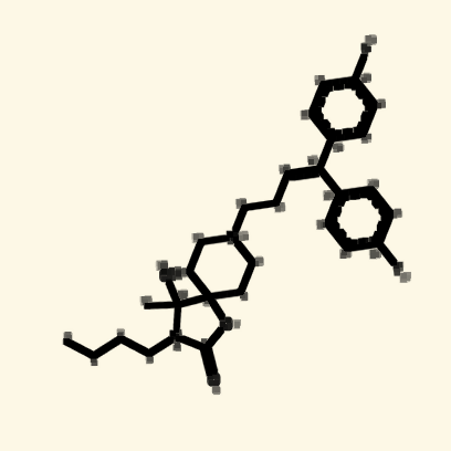 CCCCN1C(=O)OC2(CCN(CCC=C(c3ccc(F)cc3)c3ccc(F)cc3)CC2)C1(C)O